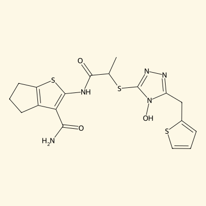 CC(Sc1nnc(Cc2cccs2)n1O)C(=O)Nc1sc2c(c1C(N)=O)CCC2